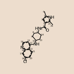 Cc1cc(C(=O)NC2CCC(Nc3ccnc4cc(Cl)ccc34)CC2)c(C)[nH]1